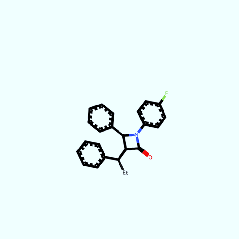 CCC(c1ccccc1)C1C(=O)N(c2ccc(F)cc2)C1c1ccccc1